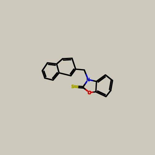 S=c1oc2ccccc2n1Cc1ccc2ccccc2c1